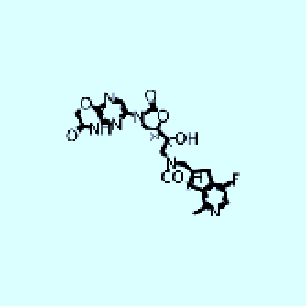 Cc1ncc(F)c2c1CC(CN(C[C@@H](O)[C@H]1CN(c3cnc4c(n3)NC(=O)CO4)C(=O)O1)C(=O)O)C2